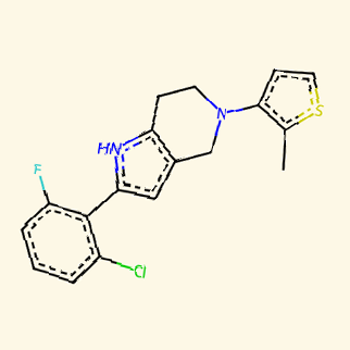 Cc1sccc1N1CCc2[nH]c(-c3c(F)cccc3Cl)cc2C1